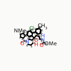 CN[C@H]1CC[C@@H](C(=O)N2CCC[C@@H]([C@@](O)(CCCNC(=O)OC)c3cccc(Cl)c3-c3cccc(C)c3)C2)C1